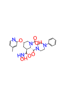 Cc1ccnc(O[C@H]2C[C@H](C(=O)NO)[C@@H](C(=O)N3CCN(c4ccccc4)CC3)N(C(=O)O)C2)c1